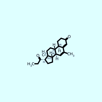 CCC(=O)[C@H]1CC[C@H]2[C@@H]3C=C(C)C4=CC(=O)CC[C@@H]4[C@H]3CC[C@]12C